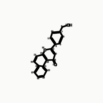 O=c1cc(-c2ccc(CO)cc2)oc2ccc3ccccc3c12